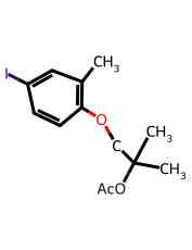 CC(=O)OC(C)(C)COc1ccc(I)cc1C